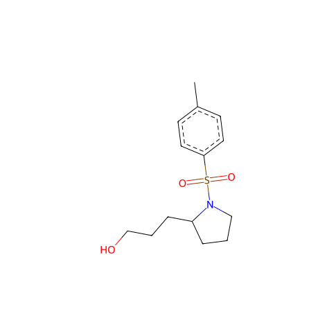 Cc1ccc(S(=O)(=O)N2CCCC2CCCO)cc1